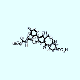 Cc1c2c(cc(Cl)c1-c1ccc(F)c3sc(NC(=O)OC(C)(C)C)nc13)C(=O)N1CCN(C(=O)O)C[C@@H]1COC2